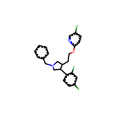 Fc1ccc(C2CN(Cc3ccccc3)CC2CCOc2ccc(Cl)cn2)c(F)c1